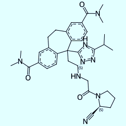 CC(C)c1nnc(C2(C[C@H](C)NCC(=O)N3CCC[C@H]3C#N)c3ccc(C(=O)N(C)C)cc3CCc3cc(C(=O)N(C)C)ccc32)[nH]1